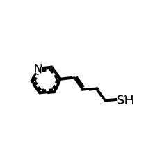 SCCC=Cc1cccnc1